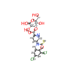 O=C(O[C@H]1[C@H](O)C(CO)OC(O)[C@@H]1O)c1ccc(N2Cc3cc(Cl)cc(Cl)c3OC2=S)cn1